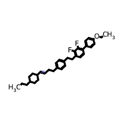 CCCC1CCC(/C=C/CCc2ccc(CCc3ccc(-c4ccc(OCC)cc4)c(F)c3F)cc2)CC1